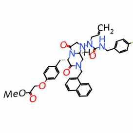 C=CCN(C(=O)NCc1ccc(F)cc1)N1CC(=O)N2[C@@H](Cc3ccc(OCC(=O)OC)cc3)C(=O)N(Cc3cccc4ccccc34)C[C@@H]21